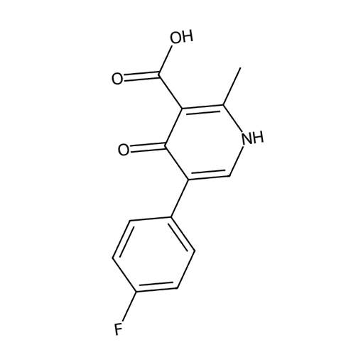 Cc1[nH]cc(-c2ccc(F)cc2)c(=O)c1C(=O)O